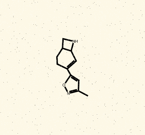 Cc1cc(C2=CC3NCC3CC2)on1